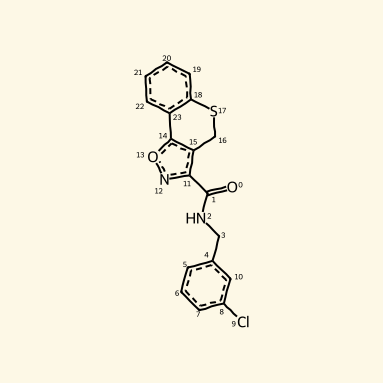 O=C(NCc1cccc(Cl)c1)c1noc2c1CSc1ccccc1-2